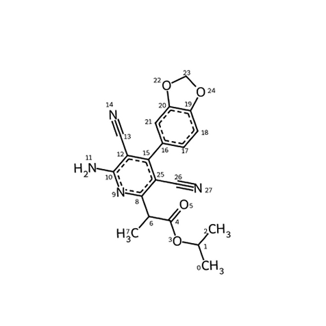 CC(C)OC(=O)C(C)c1nc(N)c(C#N)c(-c2ccc3c(c2)OCO3)c1C#N